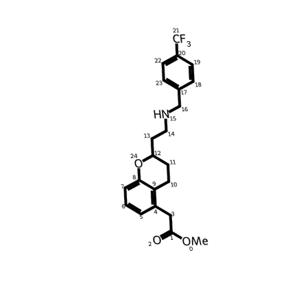 COC(=O)Cc1cccc2c1CCC(CCNCc1ccc(C(F)(F)F)cc1)O2